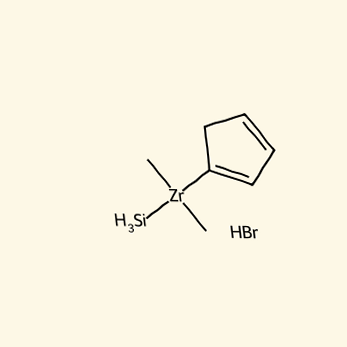 Br.[CH3][Zr]([CH3])([SiH3])[C]1=CC=CC1